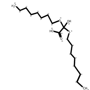 CCCCCCCCSC(O)(SCCCCCCCC)C(=O)O